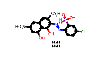 O=P(O)(O)c1cc(Cl)ccc1N=Nc1c(S(=O)(=O)O)cc2cc(S(=O)(=O)O)cc(O)c2c1O.[NaH].[NaH]